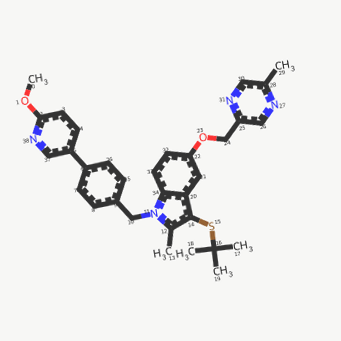 COc1ccc(-c2ccc(Cn3c(C)c(SC(C)(C)C)c4cc(OCc5cnc(C)cn5)ccc43)cc2)cn1